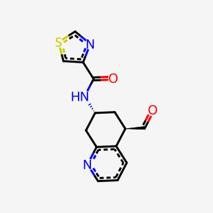 O=C[C@@H]1C[C@@H](NC(=O)c2cscn2)Cc2ncccc21